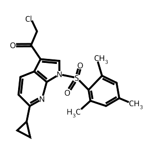 Cc1cc(C)c(S(=O)(=O)n2cc(C(=O)CCl)c3ccc(C4CC4)nc32)c(C)c1